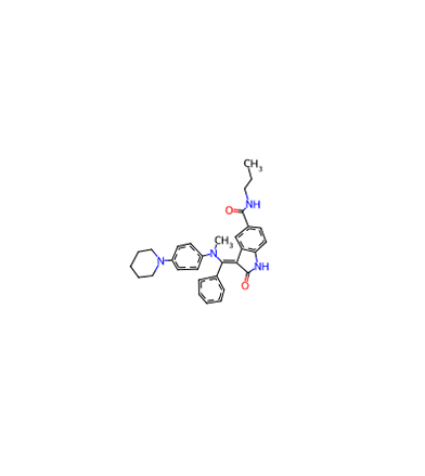 CCCNC(=O)c1ccc2c(c1)C(=C(c1ccccc1)N(C)c1ccc(N3CCCCC3)cc1)C(=O)N2